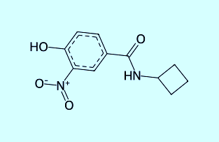 O=C(NC1CCC1)c1ccc(O)c([N+](=O)[O-])c1